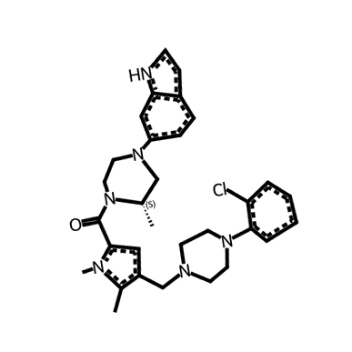 Cc1c(CN2CCN(c3ccccc3Cl)CC2)cc(C(=O)N2CCN(c3ccc4cc[nH]c4c3)C[C@@H]2C)n1C